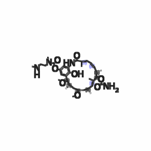 CNCCN(C)C(=O)Oc1cc2c(O)c(c1)[C@H](OC)[C@@H](C)C[C@H](OC)C[C@@H](C)/C=C(\C)[C@H](OC(N)=O)[C@@H](C)/C=C\C=C(/C)C(=O)N2